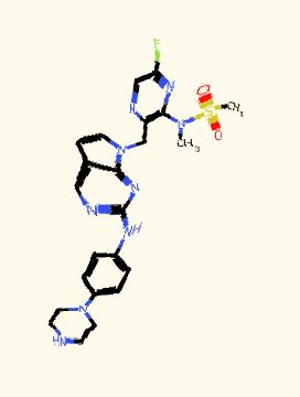 CN(c1nc(F)cnc1Cn1ccc2cnc(Nc3ccc(N4CCNCC4)cc3)nc21)S(C)(=O)=O